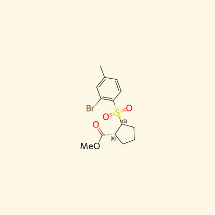 COC(=O)[C@H]1CCC[C@@H]1S(=O)(=O)c1ccc(C)cc1Br